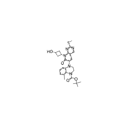 CSc1ncc2cc(N3CCN(C(=O)OC(C)(C)C)c4c(C)cccc43)c(=O)n(C3CC(O)C3)c2n1